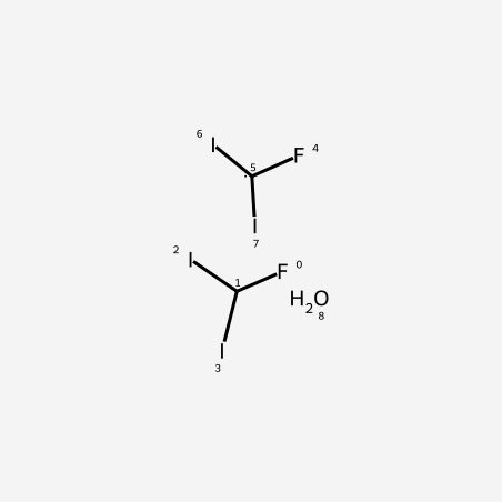 FC(I)I.F[C](I)I.O